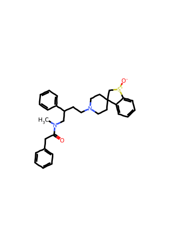 CN(CC(CCN1CCC2(CC1)C[S+]([O-])c1ccccc12)c1ccccc1)C(=O)Cc1ccccc1